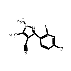 Cc1c(C#N)c(-c2ccc(Cl)cc2F)nn1C